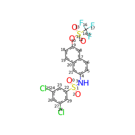 O=S(=O)(Nc1ccc2cc(OS(=O)(=O)C(F)(F)F)ccc2c1)c1cc(Cl)cc(Cl)c1